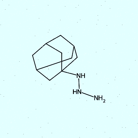 NNNC12CC3CC(CC(C3)C1)C2